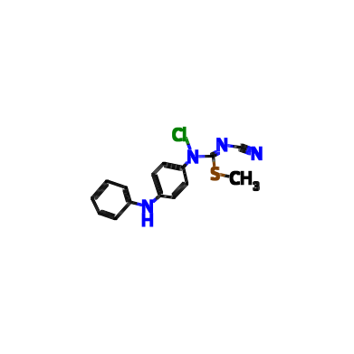 CSC(=NC#N)N(Cl)c1ccc(Nc2ccccc2)cc1